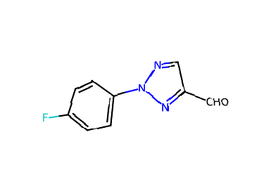 O=Cc1cnn(-c2ccc(F)cc2)n1